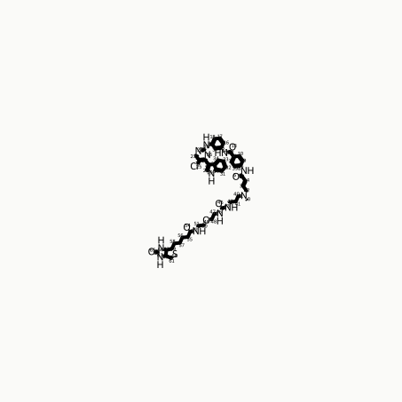 CN(C/C=C/C(=O)Nc1ccc(C(=O)Nc2cccc(Nc3ncc(Cl)c(-c4c[nH]c5ccccc45)n3)c2)cc1)CCCNC(=O)NCCOCCNC(=O)CCCCC1SCC2NC(=O)NC21